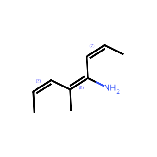 C\C=C/C(C)=C(N)\C=C/C